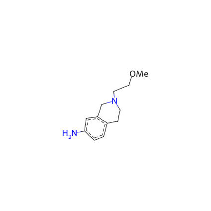 COCCN1CCc2ccc(N)cc2C1